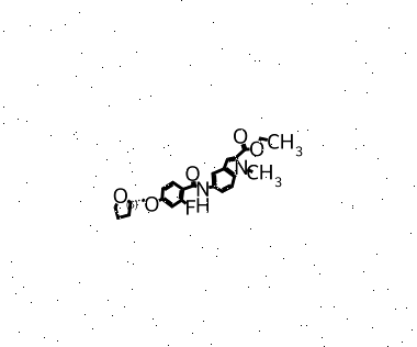 CCOC(=O)c1cc2cc(NC(=O)c3ccc(OC[C@@H]4CCCO4)cc3F)ccc2n1C